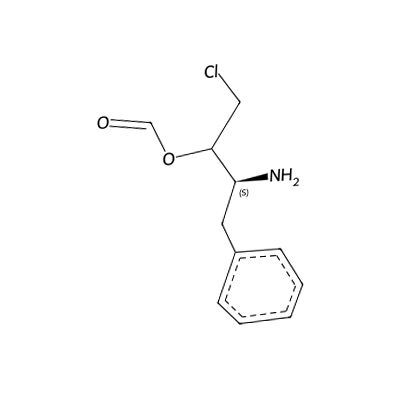 N[C@@H](Cc1ccccc1)C(CCl)OC=O